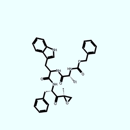 CC[C@@H](NC(=O)OCc1ccccc1)C(=O)NC(Cc1c[nH]c2ccccc12)C(=O)N[C@@H](Cc1ccccc1)C(=O)[C@@]1(C)CO1